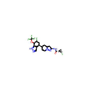 O=C(Nc1cc2cc(-c3cc(F)c(OC(F)(F)F)c4[nH]ncc34)ccn2n1)[C@@H]1C[C@@H]1F